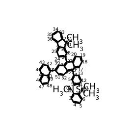 CN1c2ccccc2[Si](C)(C)c2ccc(-c3c4ccccc4c(-c4ccc5c(c4)C(C)(C)c4ccccc4-5)c4cc(-c5cccc6ccccc56)ccc34)cc21